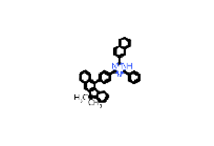 CC1(C)c2ccccc2-c2c1cc1ccccc1c2-c1ccc(C2=NC(c3ccccc3)NC(c3ccc4ccccc4c3)=N2)cc1